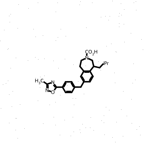 Cc1noc(-c2ccc(Cc3ccc4c(c3)CCN(C(=O)O)CC4CC(C)C)cc2)n1